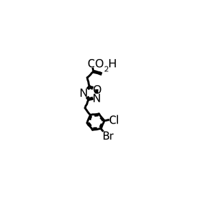 C=C(Cc1nc(Cc2ccc(Br)c(Cl)c2)no1)C(=O)O